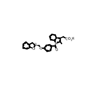 Cc1c(CC(=O)O)c2ccccc2n1C(=O)c1ccc(OC[C@@H]2Cc3ccccc3O2)cc1